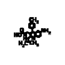 Cc1ccc(-c2c(CNC(=O)O)c(CC(C)C)nc3ccc(N)cc23)cc1